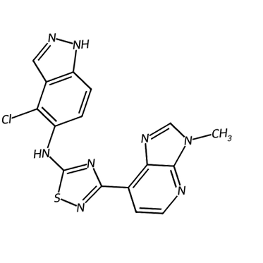 Cn1cnc2c(-c3nsc(Nc4ccc5[nH]ncc5c4Cl)n3)ccnc21